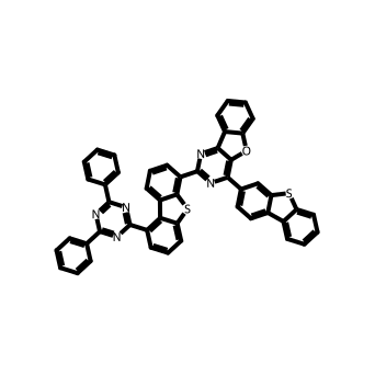 c1ccc(-c2nc(-c3ccccc3)nc(-c3cccc4sc5c(-c6nc(-c7ccc8c(c7)sc7ccccc78)c7oc8ccccc8c7n6)cccc5c34)n2)cc1